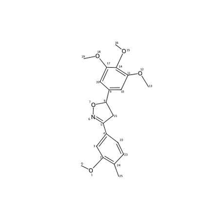 COc1cc(C2=NOC(c3cc(OC)c(OC)c(OC)c3)C2)ccc1C